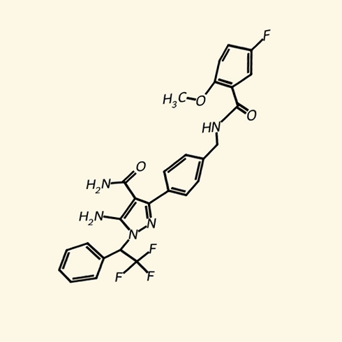 COc1ccc(F)cc1C(=O)NCc1ccc(-c2nn(C(c3ccccc3)C(F)(F)F)c(N)c2C(N)=O)cc1